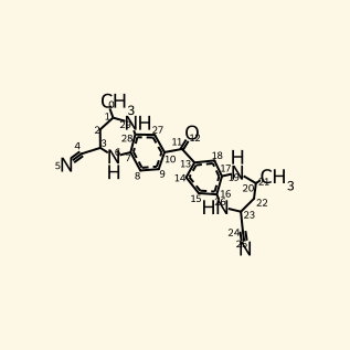 CC1CC(C#N)Nc2ccc(C(=O)c3ccc4c(c3)NC(C)CC(C#N)N4)cc2N1